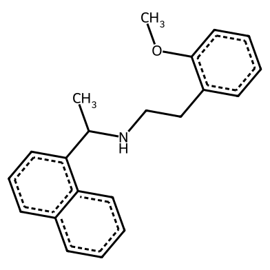 COc1ccccc1CCNC(C)c1cccc2ccccc12